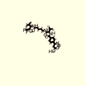 CC(C)C(NC(=O)CCCCNC(=O)[C@@H](NC(=O)c1ccc(C(CC(=O)O)N=O)cc1)C(C)C)C(=O)C(F)(F)F